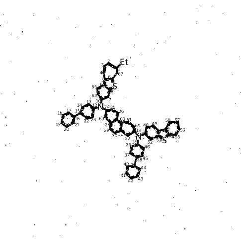 CCC1=CC=Cc2c(sc3cc(N(c4ccc(-c5ccccc5)cc4)c4ccc5c(ccc6cc(N(c7ccc(-c8ccccc8)cc7)c7ccc8c(c7)sc7ccccc78)ccc65)c4)ccc23)C1